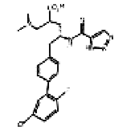 CN(C)C[C@H](C[C@@H](Cc1ccc(-c2cc(Cl)ccc2F)cc1)NC(=O)c1cnn[nH]1)C(=O)O